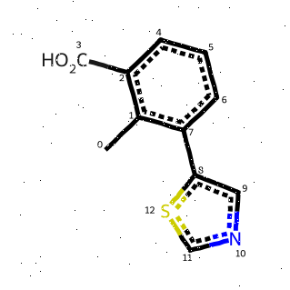 Cc1c(C(=O)O)cccc1-c1cncs1